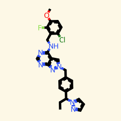 CCC(c1ccc(Cn2cc3c(NCc4c(Cl)ccc(OC)c4F)ncnc3n2)cc1)n1cccn1